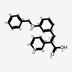 O=C(O)/C(=C/c1cccc(OCc2ccccc2)c1)c1cccnc1